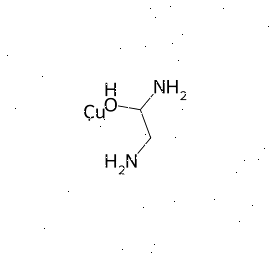 NCC(N)O.[Cu]